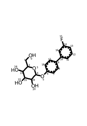 OCC1OC(Oc2ccc(-c3cccc(F)c3)cc2)C(O)C(O)C1O